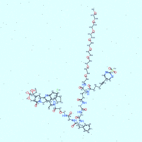 CC[C@@]1(O)C(=O)OCc2c1cc1n(c2=O)Cc2c-1nc1cc(F)c3c(c1c2[C@H](C)NC(=O)COCNC(=O)CNC(=O)[C@H](Cc1ccccc1)NC(=O)CNC(=O)CNC(=O)CC[C@H](NC(=O)CCCC#Cc1cnc(S(C)(=O)=O)nc1)C(=O)NCCOCCOCCOCCOCCOCCOCCOCCOC)CCC3